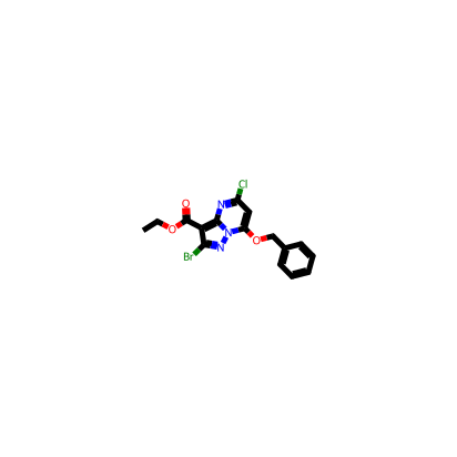 CCOC(=O)c1c(Br)nn2c(OCc3ccccc3)cc(Cl)nc12